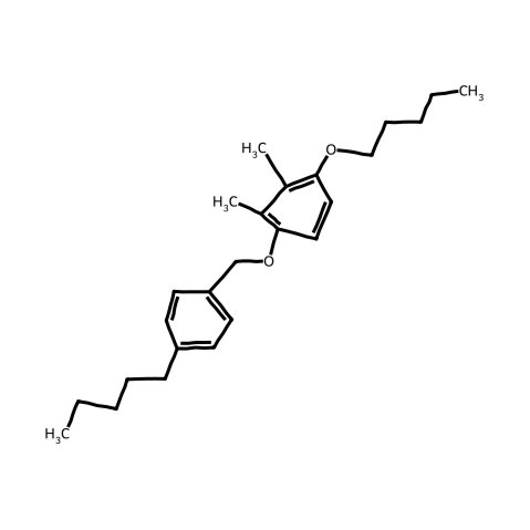 CCCCCOc1ccc(OCc2ccc(CCCCC)cc2)c(C)c1C